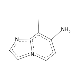 Cc1c(N)ccn2ccnc12